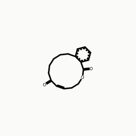 O=C1/C=C\CCOC(=O)c2ccccc2CCCCC1